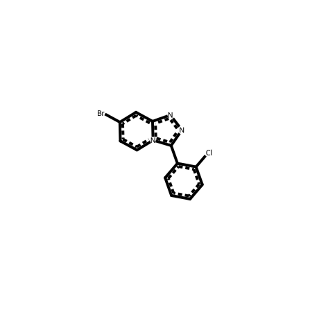 Clc1ccccc1-c1nnc2cc(Br)ccn12